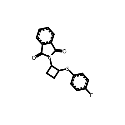 O=C1c2ccccc2C(=O)N1C1CCC1Sc1ccc(F)cc1